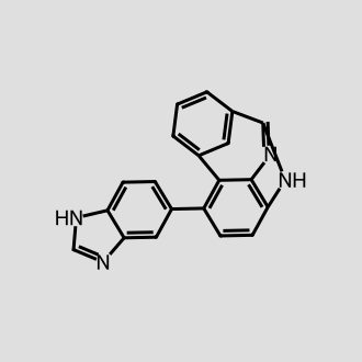 c1cc2cc(c1)-c1c(-c3ccc4[nH]cnc4c3)ccc3[nH]c-2nc13